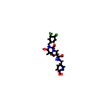 Cc1c(=O)n(Cc2ccc(Cl)c(F)c2)c(=O)n2cc(C(=O)NCc3ccc(O)nc3)sc12